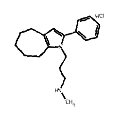 CNCCCn1c(-c2ccccc2)cc2c1CCCCC2.Cl